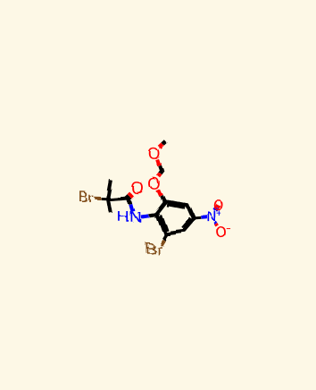 COCOc1cc([N+](=O)[O-])cc(Br)c1NC(=O)C(C)(C)Br